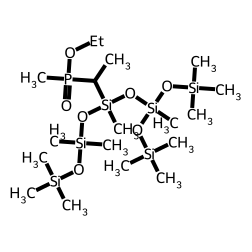 CCOP(C)(=O)C(C)[Si](C)(O[Si](C)(C)O[Si](C)(C)C)O[Si](C)(O[Si](C)(C)C)O[Si](C)(C)C